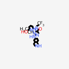 CC(C)(O)c1cccc(-n2c3nc(Nc4ccc5c(c4)CCNC5)ncc3c(=O)n2CCC(F)(F)F)n1